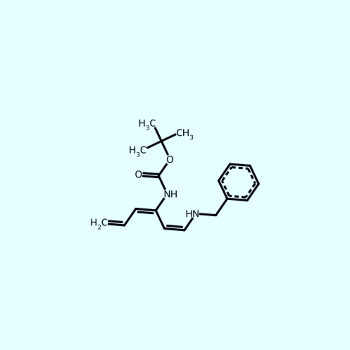 C=C/C=C(\C=C/NCc1ccccc1)NC(=O)OC(C)(C)C